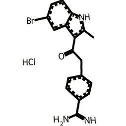 Cc1[nH]c2ccc(Br)cc2c1C(=O)Cc1ccc(C(=N)N)cc1.Cl